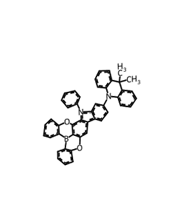 CC1(C)c2ccccc2N(c2ccc3c4cc5c6c(c4n(-c4ccccc4)c3c2)Oc2ccccc2B6c2ccccc2O5)c2ccccc21